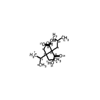 CCC(CC)(C(C)C)C(CC(C)C)(C(=O)O)C(=O)O